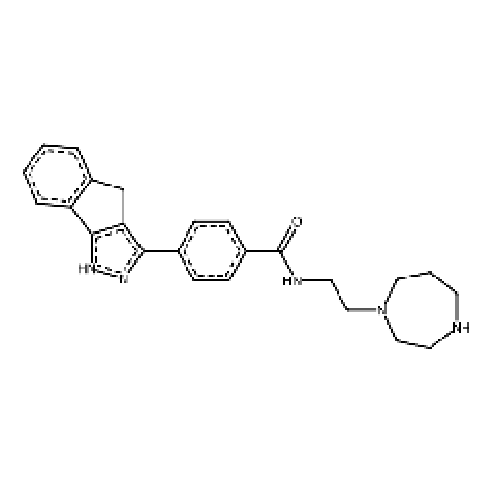 O=C(NCCN1CCCNCC1)c1ccc(-c2n[nH]c3c2Cc2ccccc2-3)cc1